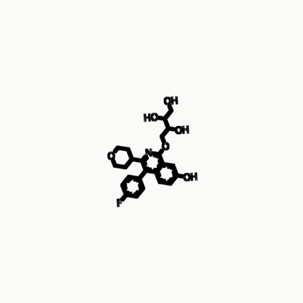 OCC(O)C(O)COc1nc(C2CCOCC2)c(-c2ccc(F)cc2)c2ccc(O)cc12